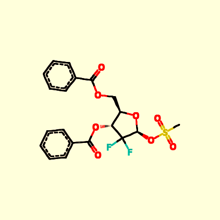 CS(=O)(=O)O[C@@H]1O[C@H](COC(=O)c2ccccc2)[C@@H](OC(=O)c2ccccc2)C1(F)F